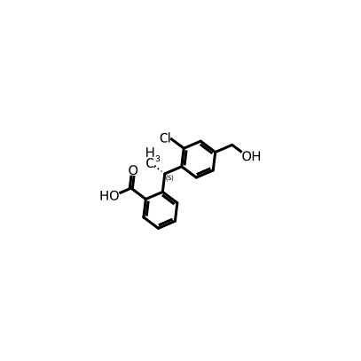 C[C@H](c1ccc(CO)cc1Cl)c1ccccc1C(=O)O